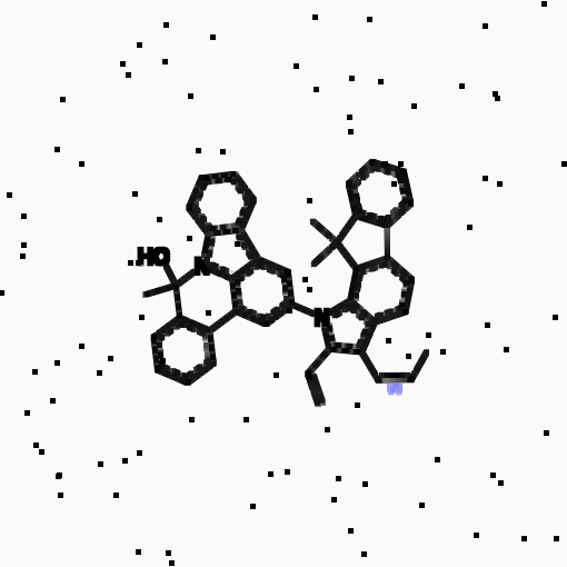 C=Cc1c(/C=C\C)c2ccc3c(c2n1-c1cc2c4c(c1)c1ccccc1n4C(C)(O)c1ccccc1-2)C(C)(C)c1ccccc1-3